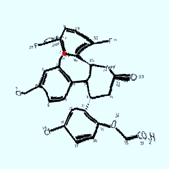 O=CNc1cc(Cl)ccc1C1[C@@H](c2cc(Cl)ccc2OCC(=O)O)CC(=O)N[C@@H]1c1cc(F)ccc1F